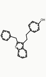 Oc1ccc(CCc2c(Cc3ccccc3)sc3ccccc23)cc1